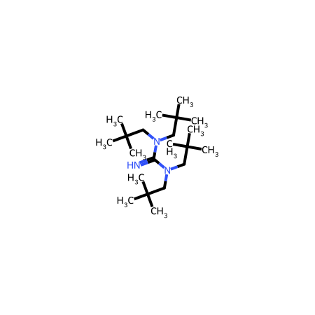 CC(C)(C)CN(CC(C)(C)C)C(=N)N(CC(C)(C)C)CC(C)(C)C